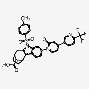 Cc1ccc(S(=O)(=O)n2c3c(c4ccc(-n5ccc(-c6ccc(C(F)(F)F)nc6)cc5=O)cc42)C2CCC(C3)N2C(=O)O)cc1